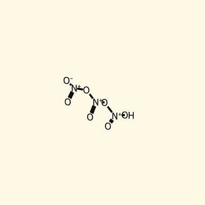 O=[N+]([O-])O[N+](=O)O[N+](=O)O